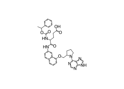 CC(OC(=O)NC(CCC(=O)O)C(=O)Nc1ccc2cccc(OCC3CCCN3c3ncnc4[nH]cnc34)c2c1)c1ccccc1